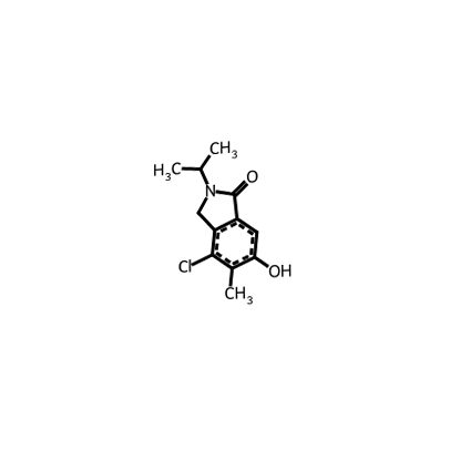 Cc1c(O)cc2c(c1Cl)CN(C(C)C)C2=O